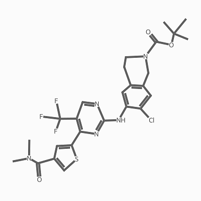 CN(C)C(=O)c1csc(-c2nc(Nc3cc4c(cc3Cl)CN(C(=O)OC(C)(C)C)CC4)ncc2C(F)(F)F)c1